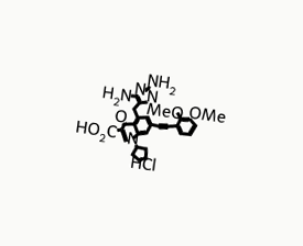 COc1cccc(C#Cc2cc(Cc3cnc(N)nc3N)c3c(=O)c(C(=O)O)cn(C4CCCC4)c3c2)c1OC.Cl